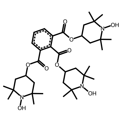 CC1(C)CC(OC(=O)c2cccc(C(=O)OC3CC(C)(C)N(O)C(C)(C)C3)c2C(=O)OC2CC(C)(C)N(O)C(C)(C)C2)CC(C)(C)N1O